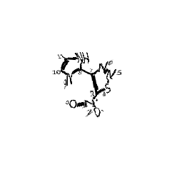 O=[N+]([O-])c1snnc1-c1ncc[nH]1